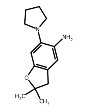 CC1(C)Cc2cc(N)c(N3CCCC3)cc2O1